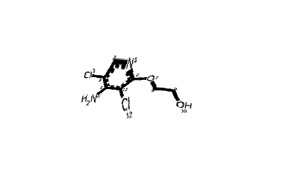 Nc1c(Cl)cnc(OCCO)c1Cl